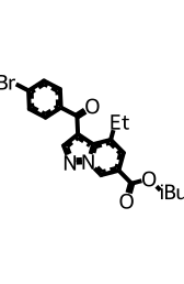 CCc1cc(C(=O)OC(C)CC)cn2ncc(C(=O)c3ccc(Br)cc3)c12